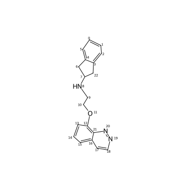 c1ccc2c(c1)CC(NCCOc1cccc3ccnnc13)C2